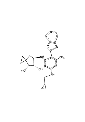 Cc1nc(NCC2CC2)nc(N[C@@H]2CC3(CC3)[C@@H](O)[C@H]2O)c1-c1nc2cnccc2s1